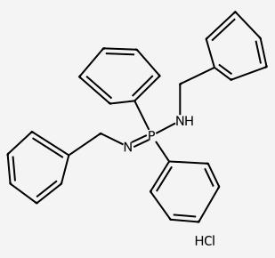 Cl.c1ccc(CN=P(NCc2ccccc2)(c2ccccc2)c2ccccc2)cc1